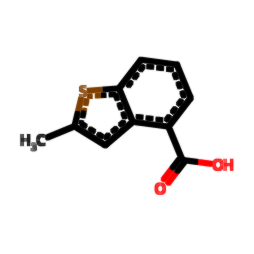 Cc1cc2c(C(=O)O)cccc2s1